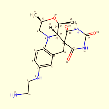 C[C@@H]1CN2c3ccc(NCCN)cc3CC3(C(=O)NC(=O)NC3=O)[C@H]2[C@H](C)O1